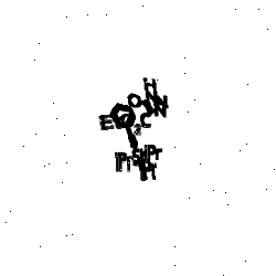 CCOC(=O)c1nn[nH]c1Oc1cccc(C#C[Si](C(C)C)(C(C)C)C(C)C)c1